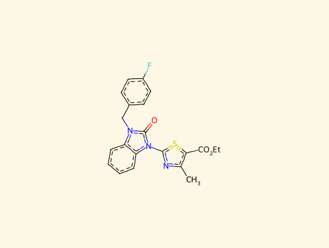 CCOC(=O)c1sc(-n2c(=O)n(Cc3ccc(F)cc3)c3ccccc32)nc1C